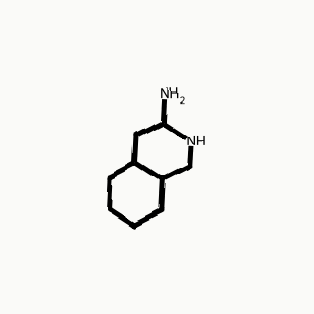 NC1CC2CCCCC2CN1